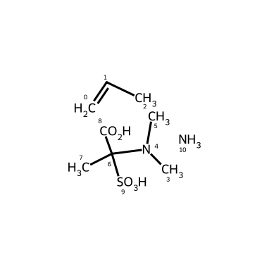 C=CC.CN(C)C(C)(C(=O)O)S(=O)(=O)O.N